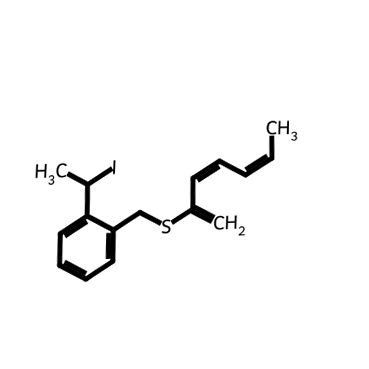 C=C(/C=C\C=C/C)SCc1ccccc1C(C)I